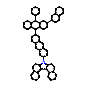 c1ccc(-c2c3ccccc3c(-c3ccc4cc5cc(-n6c7ccc8ccccc8c7c7c8ccccc8ccc76)ccc5cc4c3)c3ccc(-c4ccc5ccccc5c4)cc23)cc1